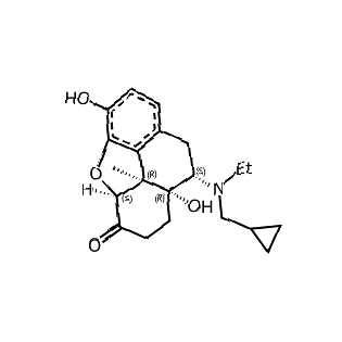 CCN(CC1CC1)[C@H]1Cc2ccc(O)c3c2[C@]2(C)[C@H](O3)C(=O)CC[C@]12O